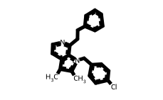 Cc1c(C)n(Cc2ccc(Cl)cc2)c2c(CCc3ccccc3)nccc12